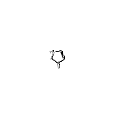 [C]1NC=C[SH]1